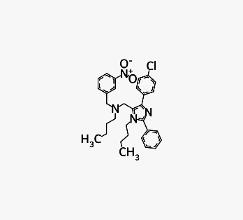 CCCCN(Cc1cccc([N+](=O)[O-])c1)Cc1c(-c2ccc(Cl)cc2)nc(-c2ccccc2)n1CCCC